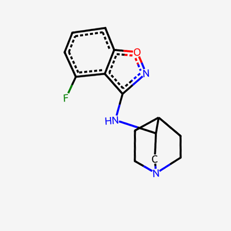 Fc1cccc2onc(NC3CN4CCC3CC4)c12